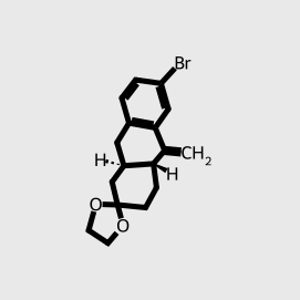 C=C1c2cc(Br)ccc2C[C@@H]2CC3(CC[C@@H]12)OCCO3